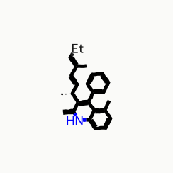 C=C1Nc2cccc(C)c2C(c2ccccc2)=C1[C@H](C)/C=C/C(C)=C/CC